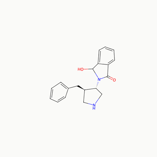 O=C1c2ccccc2C(O)N1[C@@H]1CNC[C@H]1Cc1ccccc1